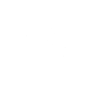 C=C(CC(C)C(=O)OCC)c1ccccc1